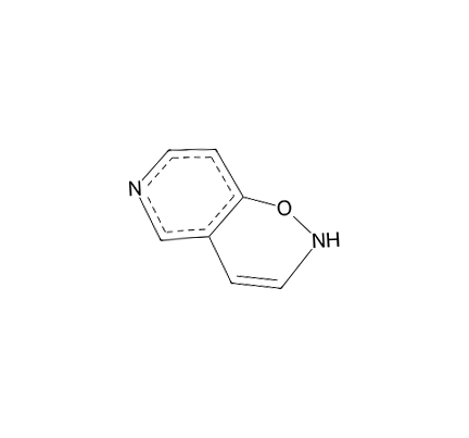 C1=Cc2cnccc2ON1